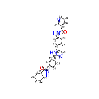 O=C(Nc1ccc(-c2cnc(-c3ccc(NC(=O)C4CCCCC4)cc3)[nH]2)cc1)c1cccnc1